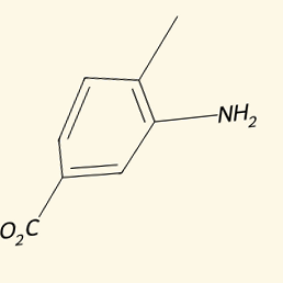 CCOC(=O)c1ccc(C)c(N)c1